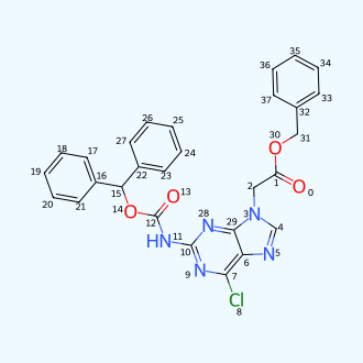 O=C(Cn1cnc2c(Cl)nc(NC(=O)OC(c3ccccc3)c3ccccc3)nc21)OCc1ccccc1